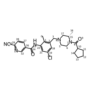 Cc1c(CN2CCN(C(=O)C3CCCC3)[C@@H](C)C2)cc(Cl)cc1NC(=O)c1ccc(C#N)nc1